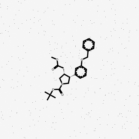 COC(=O)C[C@H]1CN(C(=O)OC(C)(C)C)C[C@H]1c1cccc(OCc2ccccc2)c1